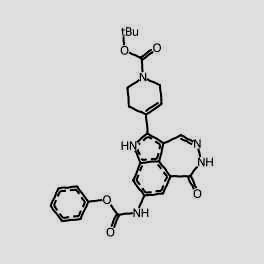 CC(C)(C)OC(=O)N1CC=C(c2[nH]c3cc(NC(=O)Oc4ccccc4)cc4c3c2C=NNC4=O)CC1